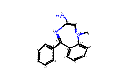 CN1C[C@H](N)N=C(c2ccccc2)c2ccccc21